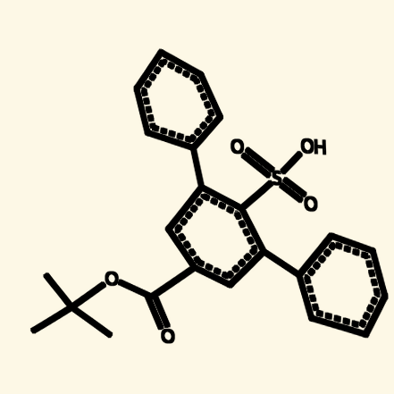 CC(C)(C)OC(=O)c1cc(-c2ccccc2)c(S(=O)(=O)O)c(-c2ccccc2)c1